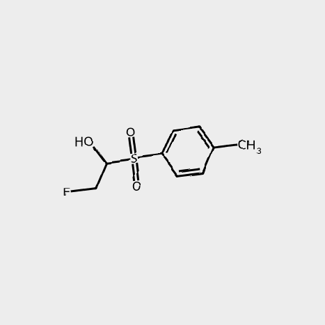 Cc1ccc(S(=O)(=O)C(O)CF)cc1